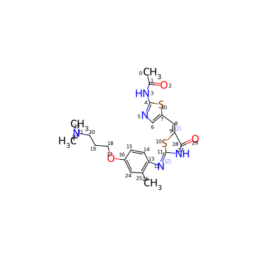 CC(=O)Nc1ncc(/C=C2\S/C(=N\c3ccc(OCCCN(C)C)cc3C)NC2=O)s1